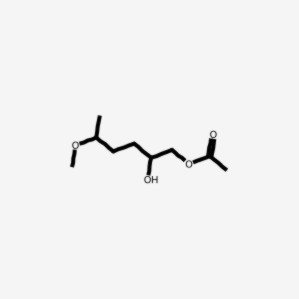 COC(C)CCC(O)COC(C)=O